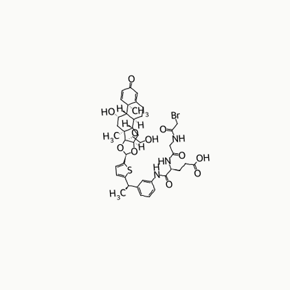 C[C@H](c1cccc(NC(=O)[C@H](CCC(=O)O)NC(=O)CNC(=O)CBr)c1)c1ccc([C@@H]2O[C@@H]3C[C@H]4[C@@H]5CCC6=CC(=O)C=C[C@]6(C)[C@H]5[C@@H](O)C[C@]4(C)[C@]3(C(=O)CO)O2)s1